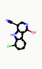 N#Cc1cnc(O)c2c1[nH]c1c(Cl)cccc12